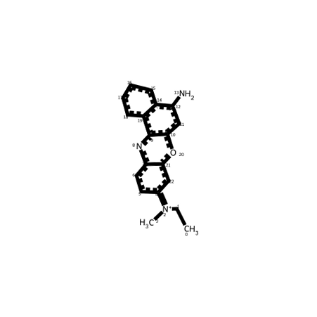 CC/[N+](C)=c1/ccc2nc3c(cc(N)c4ccccc43)oc-2c1